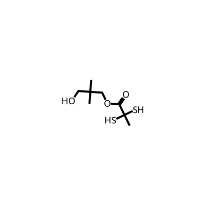 CC(C)(CO)COC(=O)C(C)(S)S